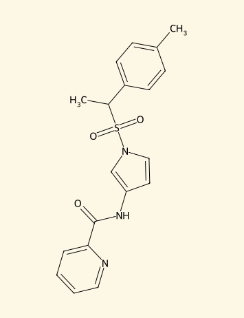 Cc1ccc(C(C)S(=O)(=O)n2ccc(NC(=O)c3ccccn3)c2)cc1